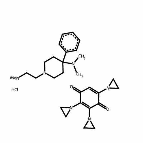 CNCCN1CCC(c2ccccc2)(N(C)C)CC1.Cl.O=C1C=C(N2CC2)C(=O)C(N2CC2)=C1N1CC1